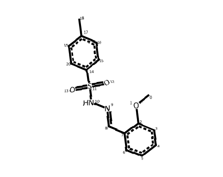 COc1ccccc1C=NNS(=O)(=O)c1ccc(C)cc1